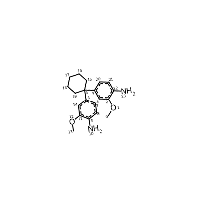 COc1cc(C2(c3ccc(N)c(OC)c3)CCCCC2)ccc1N